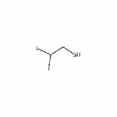 SCC(I)I